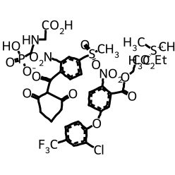 CCOC(=O)COC(=O)c1cc(Oc2ccc(C(F)(F)F)cc2Cl)ccc1[N+](=O)[O-].CS(=O)(=O)c1ccc(C(=O)C2C(=O)CCCC2=O)c([N+](=O)[O-])c1.C[S+](C)C.O=C(O)CNCP(=O)([O-])O